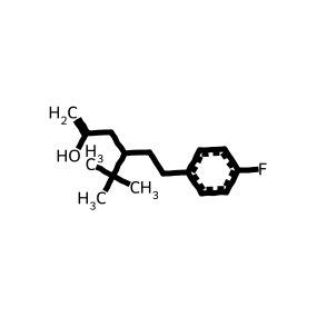 C=C(O)CC(CCc1ccc(F)cc1)C(C)(C)C